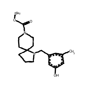 Cc1cc(O)cc(CN2CCCC23CCN(C(=O)OC(C)(C)C)CC3)c1